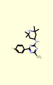 CC1(C)CC(Nc2nc(-c3ccc(F)cc3)nc(C(Cl)(Cl)Cl)n2)CC(C)(C)N1